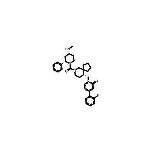 CN[C@@H]1CCN(C(=O)N2CC[C@@H](Cn3cnc(-c4ccccc4F)cc3=O)C3(CCCC3)C2)[C@H](c2ccccc2)C1